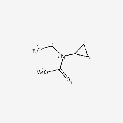 COC(=O)N(CC(F)(F)F)C1CC1